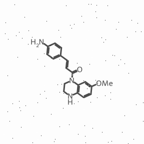 COc1ccc2c(c1)N(C(=O)C=Cc1ccc(N)cc1)CCN2